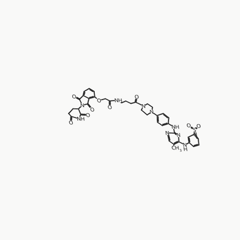 Cc1cnc(Nc2ccc(N3CCN(C(=O)CCCNC(=O)COc4cccc5c4C(=O)N(C4CCC(=O)NC4=O)C5=O)CC3)cc2)nc1Nc1cccc([SH](=O)=O)c1